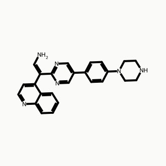 N/C=C(\c1ncc(-c2ccc(N3CCNCC3)cc2)cn1)c1ccnc2ccccc12